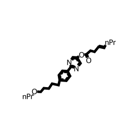 CCC/C=C/CCC(=O)Oc1cnc(-c2ccc(CCCCCOCCC)cc2)nc1